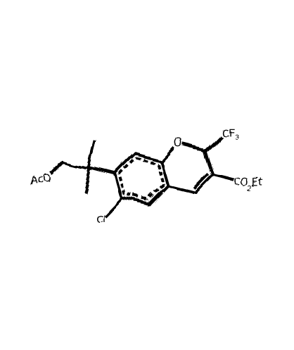 CCOC(=O)C1=Cc2cc(Cl)c(C(C)(C)COC(C)=O)cc2OC1C(F)(F)F